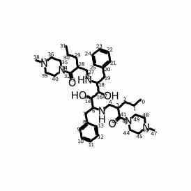 CCCC(CNC(Cc1ccccc1)C(O)C(O)C(Cc1ccccc1)NCC(CCC)C(=O)N1CCN(C)CC1)C(=O)N1CCN(C)CC1